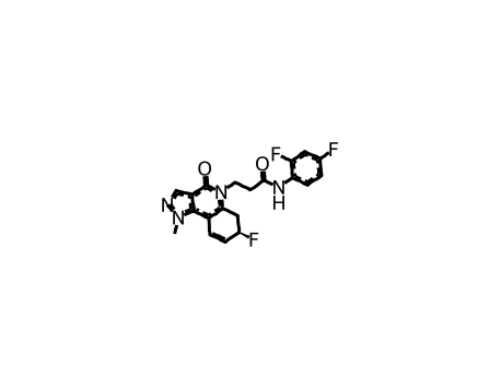 Cn1ncc2c(=O)n(CCC(=O)Nc3ccc(F)cc3F)c3c(c21)C=C[C@H](F)C3